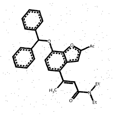 CCN(CC)C(=O)C=C(C)c1ccc(OC(c2ccccc2)c2ccccc2)c2oc(C(C)=O)cc12